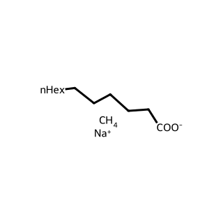 C.CCCCCCCCCCCC(=O)[O-].[Na+]